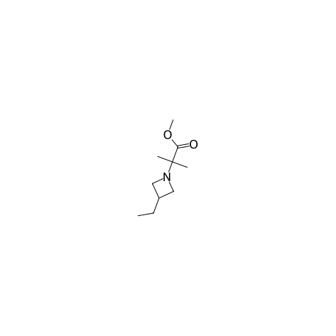 CCC1CN(C(C)(C)C(=O)OC)C1